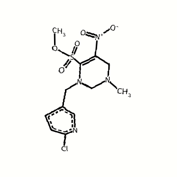 COS(=O)(=O)C1=C([N+](=O)[O-])CN(C)CN1Cc1ccc(Cl)nc1